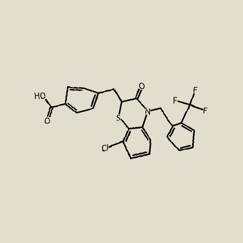 O=C(O)c1ccc(CC2Sc3c(Cl)cccc3N(Cc3ccccc3C(F)(F)F)C2=O)cc1